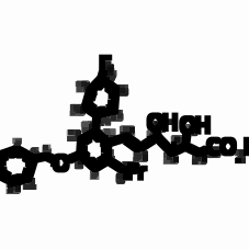 CC(C)c1cc(OCc2ccccc2)cc(-c2ccc(F)cc2)c1/C=C/C(O)CC(O)CC(=O)O